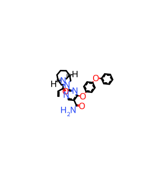 C=CC(=O)N1C[C@@H]2CCC[C@H]1CN(c1ncc(C(N)=O)c(Oc3ccc(Oc4ccccc4)cc3)n1)C2